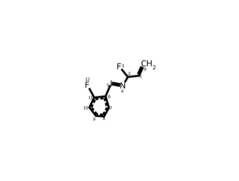 C=CC(F)/N=I/c1ccccc1F